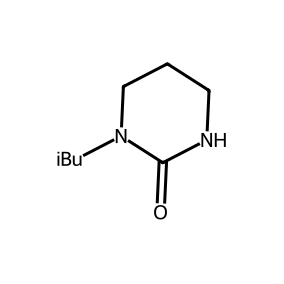 CCC(C)N1CCCNC1=O